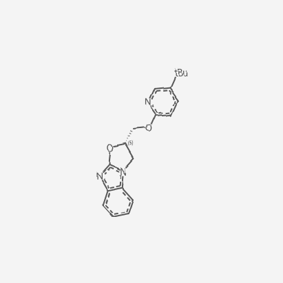 CC(C)(C)c1ccc(OC[C@@H]2Cn3c(nc4ccccc43)O2)nc1